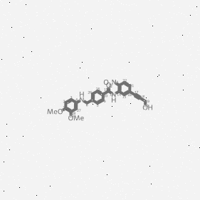 COc1ccc(NCc2ccc(C(=O)Nc3cc(C#CCO)ccc3[N+](=O)[O-])cc2)cc1OC